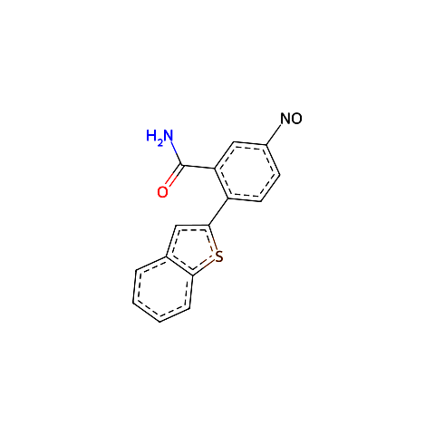 NC(=O)c1cc(N=O)ccc1-c1cc2ccccc2s1